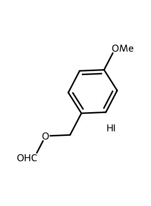 COc1ccc(COC=O)cc1.I